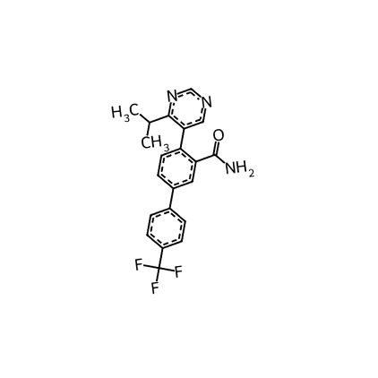 CC(C)c1ncncc1-c1ccc(-c2ccc(C(F)(F)F)cc2)cc1C(N)=O